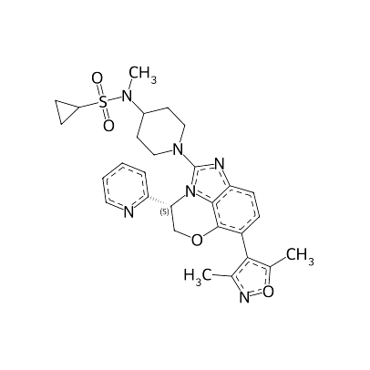 Cc1noc(C)c1-c1ccc2nc(N3CCC(N(C)S(=O)(=O)C4CC4)CC3)n3c2c1OC[C@@H]3c1ccccn1